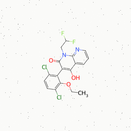 CCOc1c(Cl)ccc(Cl)c1-c1c(O)c2cccnc2n(CC(F)F)c1=O